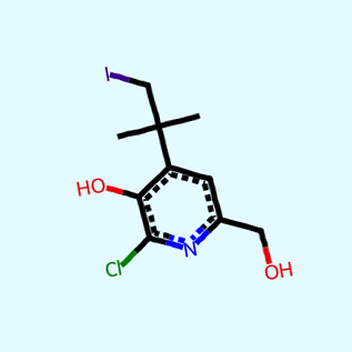 CC(C)(CI)c1cc(CO)nc(Cl)c1O